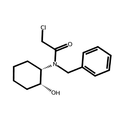 O=C(CCl)N(Cc1ccccc1)[C@H]1CCCC[C@H]1O